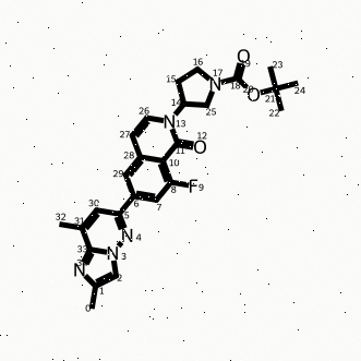 Cc1cn2nc(-c3cc(F)c4c(=O)n(C5CCN(C(=O)OC(C)(C)C)C5)ccc4c3)cc(C)c2n1